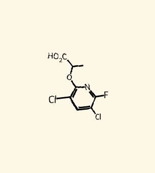 CC(Oc1nc(F)c(Cl)cc1Cl)C(=O)O